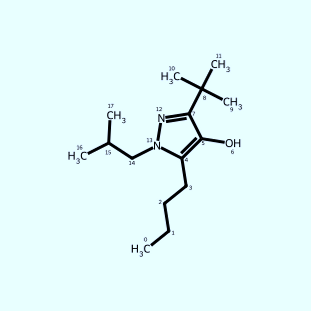 CCCCc1c(O)c(C(C)(C)C)nn1CC(C)C